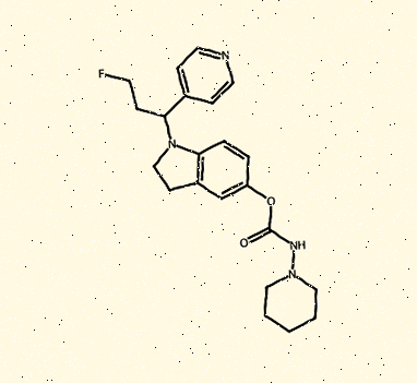 O=C(NN1CCCCC1)Oc1ccc2c(c1)CCN2C(CCF)c1ccncc1